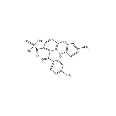 Cc1ccc(C(=O)c2c(C)ccc(C(=O)P(=O)(O)O)c2C(=O)c2ccc(C)cc2)cc1